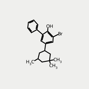 CC1CC(c2cc(Br)c(O)c(-c3ccccc3)c2)CC(C)(C)C1